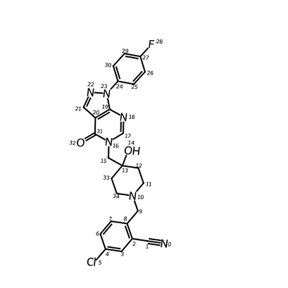 N#Cc1cc(Cl)ccc1CN1CCC(O)(Cn2cnc3c(cnn3-c3ccc(F)cc3)c2=O)CC1